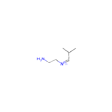 CC(C)/C=N\CCN